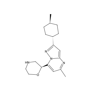 Cc1cc([C@@H]2CNCCO2)n2nc([C@H]3CC[C@H](C)CC3)cc2n1